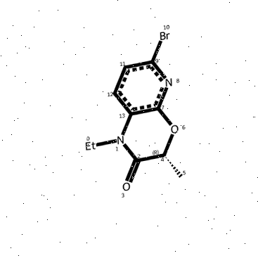 CCN1C(=O)[C@@H](C)Oc2nc(Br)ccc21